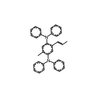 C/C=C/c1cc(N(c2ccccc2)c2ccccc2)c(C)cc1N(c1ccccc1)c1ccccc1